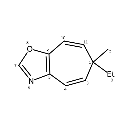 CCC1(C)C=Cc2ncoc2C=C1